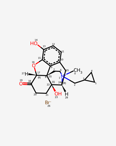 C[N+]1(CC2CC2)CC[C@]23c4c5ccc(O)c4O[C@H]2C(=O)CC[C@@]3(O)[C@H]1C5.[Br-]